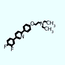 CCN(CC)CCOc1ccc(-c2ccc(-c3ccc(F)c(F)c3)cn2)cc1